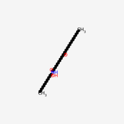 CCCCCCCCC=CCCCCCCCCCCCC(=O)CCCCCCCCCCCCCCC(=O)NCC(O)CCCCCCCCCCCCCCCC